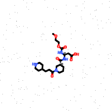 COCCOC(=O)N[C@@H](CC(=O)O)NC(=O)[C@@H]1CCCN(C(=O)CCC2CCNCC2)C1